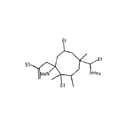 C=C(CC)CC1(NC)CC(CC)CC(C)(C(CC)CCCCCC)CC(C)C1(C)CC